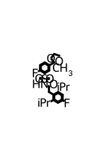 CC(C)c1cc(F)cc(C(C)C)c1CC(=O)NS(=O)(=O)c1cc(C2(C)OCCO2)ccc1F